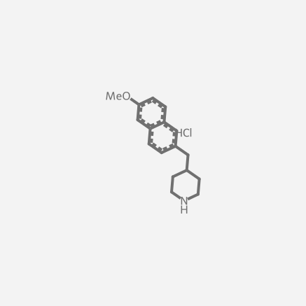 COc1ccc2cc(CC3CCNCC3)ccc2c1.Cl